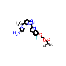 CCC(CC)C(=O)OCCOc1cc2nc(-c3nnc4ccc([C@H](C)N5CC[C@H](N)C5)cn34)ccc2cc1F